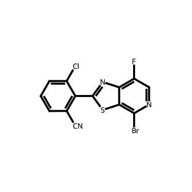 N#Cc1cccc(Cl)c1-c1nc2c(F)cnc(Br)c2s1